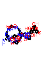 CNCCN1CCNC(=O)c2cccc(c2O)C(=O)NCCN(CCNC(=O)c2cccc(CO)c2O)CCN2CCNC(=O)c3cccc(c3O)C(=O)NCCN(CCNC(=O)c3cccc(c3O)C(=O)NC(CCCCNC(=S)Nc3ccc(-c4c5ccc(=O)cc-5oc5cc(O)ccc45)c(C(=O)O)c3)C2)CC1